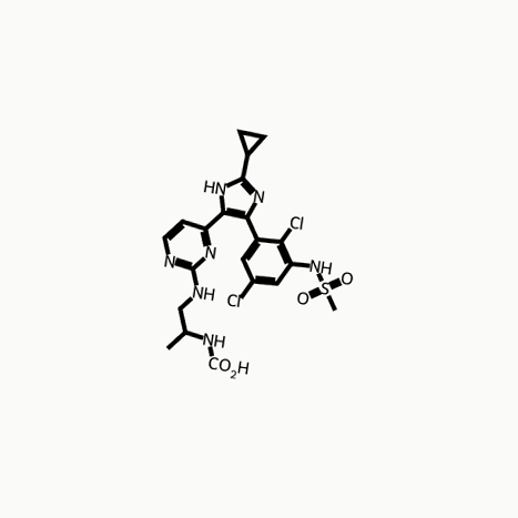 CC(CNc1nccc(-c2[nH]c(C3CC3)nc2-c2cc(Cl)cc(NS(C)(=O)=O)c2Cl)n1)NC(=O)O